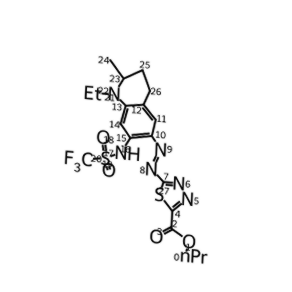 CCCOC(=O)c1nnc(N=Nc2cc3c(cc2NS(=O)(=O)C(F)(F)F)N(CC)C(C)CC3)s1